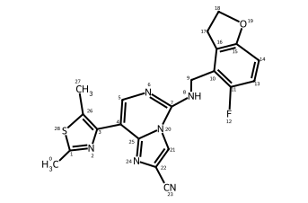 Cc1nc(-c2cnc(NCc3c(F)ccc4c3CCO4)n3cc(C#N)nc23)c(C)s1